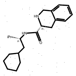 CC(C)[C@@H](CC1CCCCC1)NC(=O)[C@H]1Cc2ccccc2CN1